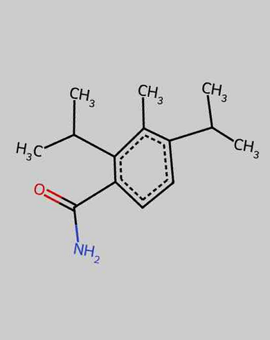 Cc1c(C(C)C)ccc(C(N)=O)c1C(C)C